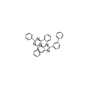 c1ccc(-c2cccc(-c3nc4ccccc4n3-c3ccccc3-c3nc(-c4ccccc4)nc(-c4ccccc4)n3)c2)cc1